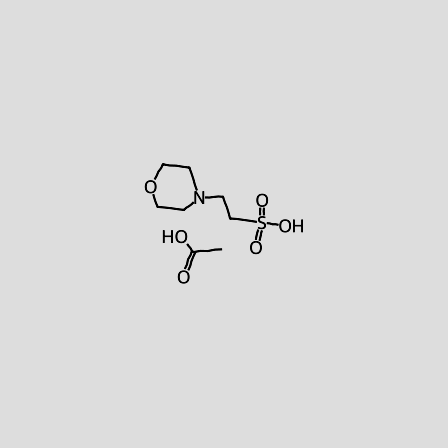 CC(=O)O.O=S(=O)(O)CCN1CCOCC1